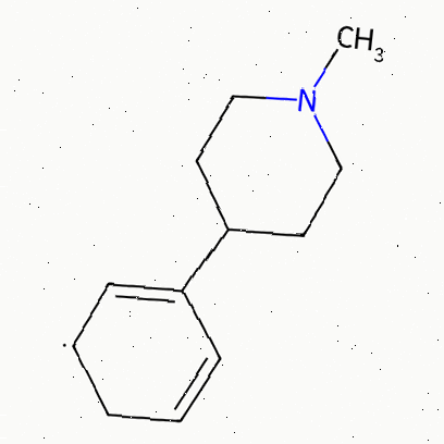 CN1CCC(C2=C[CH]CC=C2)CC1